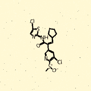 C[S+]([O-])c1ncc(C(=CC2CCCC2)C(=O)Nc2ncc(Cl)s2)cc1Cl